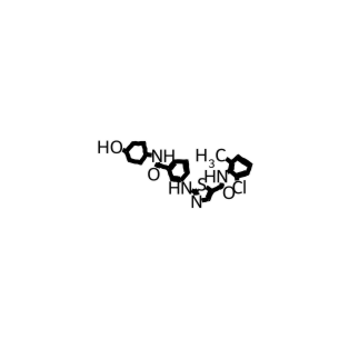 Cc1cccc(Cl)c1NC(=O)c1cnc(Nc2cccc(C(=O)NC3CCC(O)CC3)c2)s1